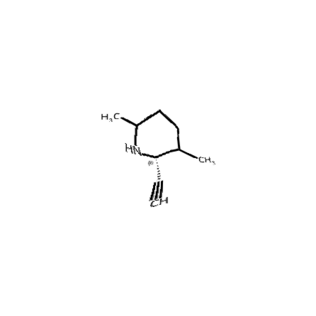 C#C[C@@H]1NC(C)CCC1C